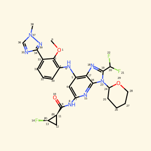 COc1c(Nc2cc(NC(=O)[C@H]3C[C@H]3F)nc3c2nc(C(F)F)n3C2CCCCO2)cccc1-c1ncn(C)n1